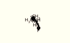 Cn1cc(NCCCCNCc2ccc(F)cc2)c(=N)n(C)c1=S